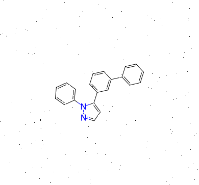 c1ccc(-c2cccc(-c3ccnn3-c3ccccc3)c2)cc1